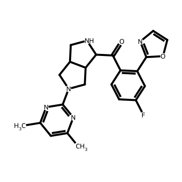 Cc1cc(C)nc(N2CC3CNC(C(=O)c4ccc(F)cc4-c4ncco4)C3C2)n1